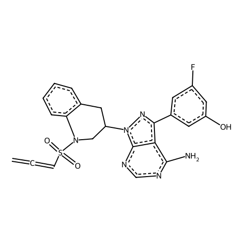 C=C=CS(=O)(=O)N1CC(n2nc(-c3cc(O)cc(F)c3)c3c(N)ncnc32)Cc2ccccc21